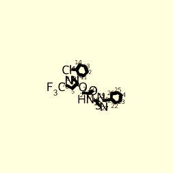 O=C(COc1cc(C(F)(F)F)nn1-c1ccccc1Cl)Nc1nc(-c2ccccc2)ns1